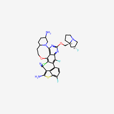 N#Cc1c(N)sc2c(F)ccc(-c3c(Cl)c4c5c(nc(OC[C@@]67CCCN6C[C@H](F)C7)nc5c3F)N3CC(N)CCC3CCO4)c12